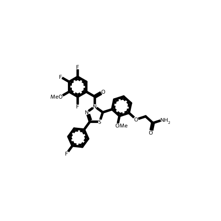 COc1c(OCC(N)=O)cccc1C1SC(c2ccc(F)cc2)=NN1C(=O)c1cc(F)c(F)c(OC)c1F